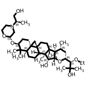 CCO[C@@H]([C@H]1C[C@@H](C)[C@H]2[C@H](O1)[C@H](O)[C@@]1(C)[C@@H]3CC[C@H]4C(C)(C)[C@@H](O[C@H]5CN([C@H](C)CO)CCO5)CC[C@@]45C[C@@]35CC[C@]21C)C(C)(C)O